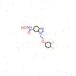 O=C(NO)c1ccc2ncn(CCOc3ccc(F)c(F)c3)c2c1